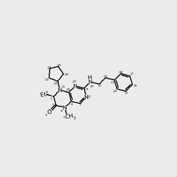 CC[C@@H]1C(=O)N(C)c2cnc(NCCc3ccccc3)nc2N1C1CCCC1